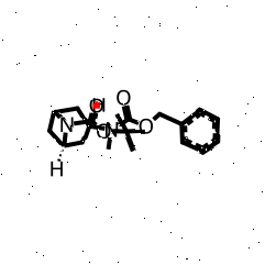 CN(C(=O)OCc1ccccc1)[C@H]1CC2C[C@H](C1)N2C(=O)OC(C)(C)C